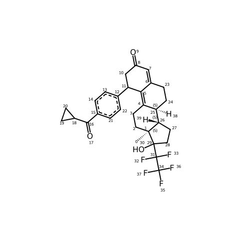 C[C@]12CCC3=C4C(=CC(=O)CC4c4ccc(C(=O)C5CC5)cc4)CC[C@H]3[C@@H]1CCC2(O)C(F)(F)C(F)(F)F